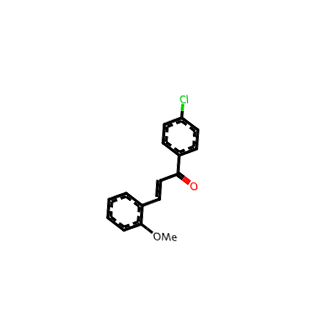 COc1ccccc1C=CC(=O)c1ccc(Cl)cc1